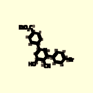 CCOC(=O)c1ccc(-c2cc(O)c(C#N)c(-c3ccc(Br)cc3)n2)cc1